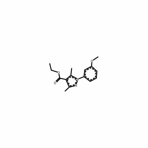 CCOC(=O)c1c(C)nn(-c2cccc(OC)c2)c1C